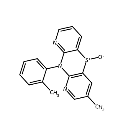 Cc1cnc2c(c1)[S+]([O-])c1cccnc1N2c1ccccc1C